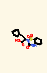 O=C(O)C(Cc1ccccc1)N1C(=O)Nc2ccccc2S1(=O)=O